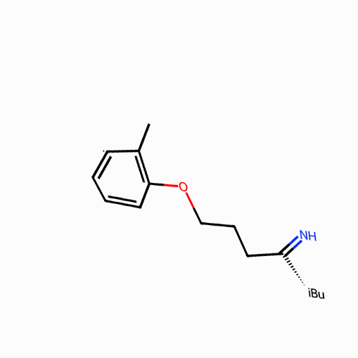 CC[C@@H](C)C(=N)CCCOc1ccc[c]c1C